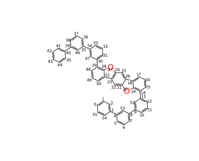 c1ccc(-c2cccc(-c3cccc(-c4cccc5c4oc4cc6c(cc45)oc4c(-c5cccc(-c7cccc(-c8ccccc8)c7)c5)cccc46)c3)c2)cc1